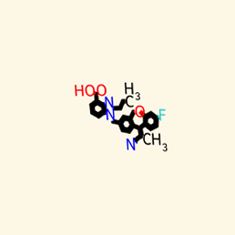 CCCc1nc2c(C(=O)O)cccc2n1Cc1ccc2c(c1)COc1cc(F)ccc1/C2=C(\C)C#N